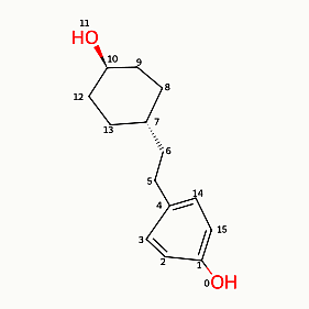 Oc1ccc(CC[C@H]2CC[C@H](O)CC2)cc1